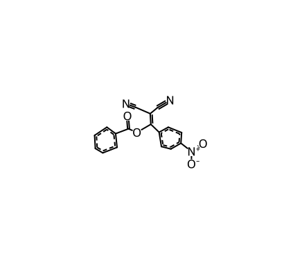 N#CC(C#N)=C(OC(=O)c1ccccc1)c1ccc([N+](=O)[O-])cc1